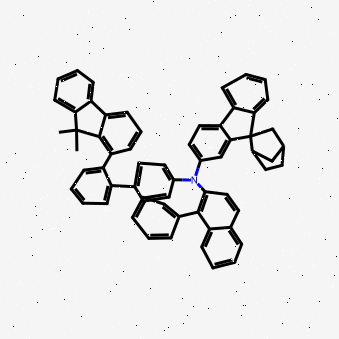 CC1(C)c2ccccc2-c2cccc(-c3ccccc3-c3ccc(N(c4ccc5c(c4)C4(CC6CCC4C6)c4ccccc4-5)c4ccc5ccccc5c4-c4ccccc4)cc3)c21